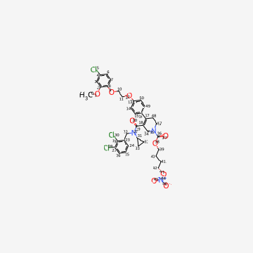 COc1cc(Cl)ccc1OCCOc1ccc(C2=C(C(=O)N(Cc3cccc(Cl)c3Cl)C3CC3)CN(C(=O)OCCCCO[N+](=O)[O-])CC2)cc1